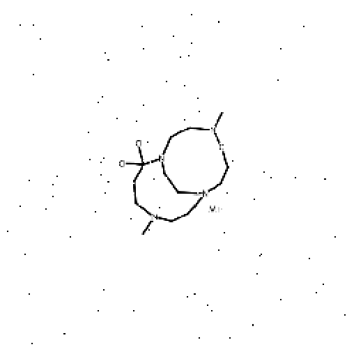 CN1CCCN2CCN(C)CCC(Cl)(Cl)N(CC1)CC2.[Mn]